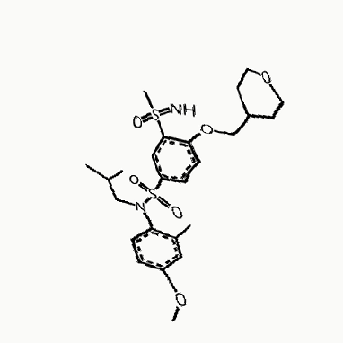 COc1ccc(N(CC(C)C)S(=O)(=O)c2ccc(OCC3CCOCC3)c(S(C)(=N)=O)c2)c(C)c1